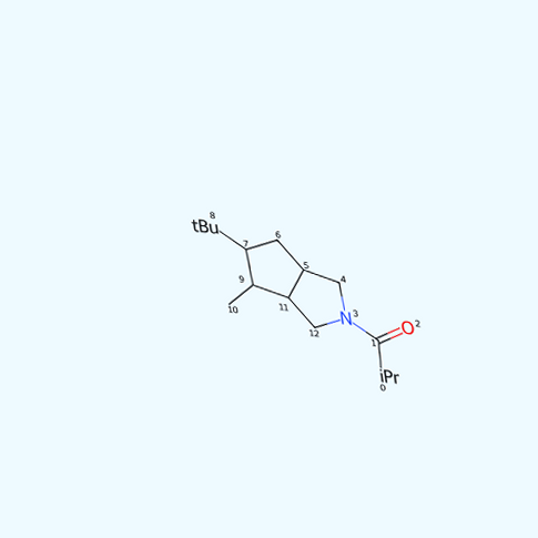 CC(C)C(=O)N1CC2CC(C(C)(C)C)C(C)C2C1